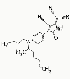 CCCCCC(C)N(CCCC)c1ccc(C2=C(C#N)C(=C(C#N)C#N)NC2=O)cc1